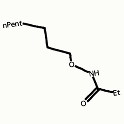 CCCCCCCCONC(=O)CC